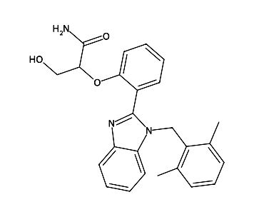 Cc1cccc(C)c1Cn1c(-c2ccccc2OC(CO)C(N)=O)nc2ccccc21